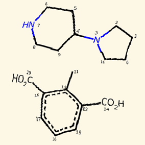 C1CCN(C2CCNCC2)C1.Cc1c(C(=O)O)cccc1C(=O)O